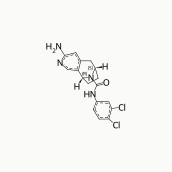 Nc1cc2c(cn1)[C@H]1CC[C@@H](C2)N1C(=O)Nc1ccc(Cl)c(Cl)c1